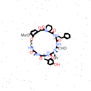 COc1ccc2cc1OCCNC(=O)[C@H](C)NC(=O)[C@@H](Cc1ccc(O)cc1)NC(=O)[C@@H](CC(C)C)N(C)C(C=O)NC(=O)[C@H](CCc1ccccc1)NC(=O)C1CCCCN1C(=O)C2=O